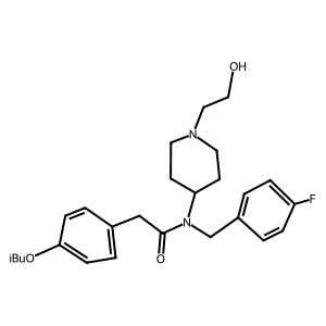 CC(C)COc1ccc(CC(=O)N(Cc2ccc(F)cc2)C2CCN(CCO)CC2)cc1